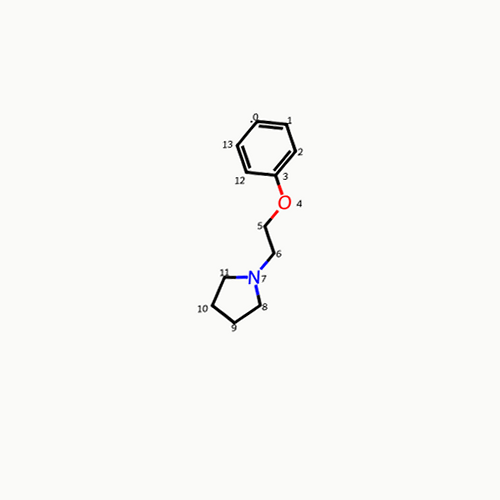 [c]1ccc(OCCN2CCCC2)cc1